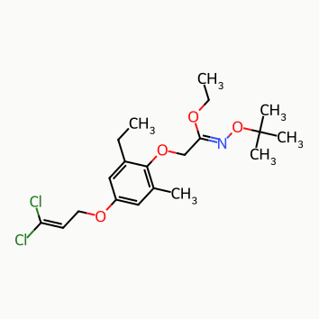 CCOC(COc1c(C)cc(OCC=C(Cl)Cl)cc1CC)=NOC(C)(C)C